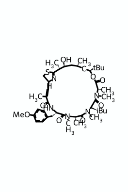 CC[C@H](C)C1C(=O)N(C)[C@@H](C)C(=O)O[C@H](C(C)(C)C)C[C@@H](C)C[C@H](O)[C@@H](C)C2=N[C@@H](/C=C(\C)C(=O)N[C@@H](Cc3ccc(OC)cc3)C(=O)N(C)[C@@H](C)C(=O)N1C)CS2